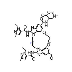 CCn1nc(C)cc1C(=O)Nc1nc2cc(C=O)cc3c2n1C/C=C/Cn1c(NC(=O)c2cc(C)nn2CC)nc2cc(C(=O)NC(CN(C)C)C(=O)O)cc(c21)OCCCO3